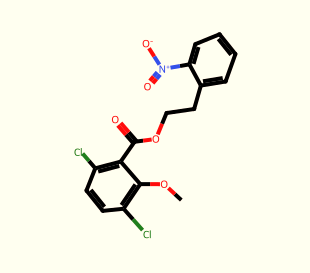 COc1c(Cl)ccc(Cl)c1C(=O)OCCc1ccccc1[N+](=O)[O-]